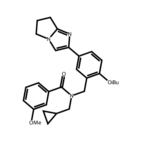 COc1cccc(C(=O)N(Cc2cc(-c3cn4c(n3)CCC4)ccc2OCC(C)C)CC2CC2)c1